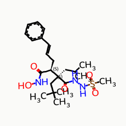 CC(C)C[C@@](CC(C)(C)C)(C(=O)NNS(C)(=O)=O)[C@H](CC=Cc1ccccc1)C(=O)NO